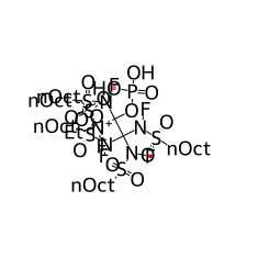 CCCCCCCCS(=O)(=O)N(F)C(N(F)S(=O)(=O)CCCCCCCC)(N(F)S(=O)(=O)CCCCCCCC)C(OP(=O)(O)O)(N(F)S(=O)(=O)CCCCCCCC)[N+](F)(CC)S(=O)(=O)CCCCCCCC